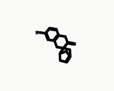 CC(C)c1ccc2c(c1)CC1(CC3=CCC1C3)C(=O)C2